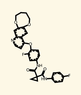 O=C(Nc1ccc(F)cc1)C1(C(=O)Nc2ccc(Oc3ccnc4cc5c(cc34)OCCCCO5)c(F)c2)CC1